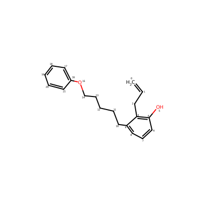 C=CCc1c(O)cccc1CCCCCOc1ccccc1